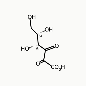 O=C(O)C(=O)C(=O)[C@H](O)[C@@H](O)CO